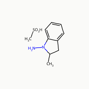 CC1Cc2ccccc2N1N.CS(=O)(=O)O